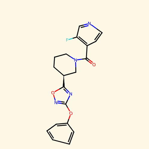 O=C(c1ccncc1F)N1CCC[C@H](c2nc(Oc3ccccc3)no2)C1